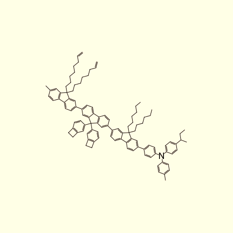 C=CCCCCCCC1(CCCCCCC=C)c2cc(C)ccc2-c2ccc(-c3ccc4c(c3)C(c3ccc5c(c3)CC5)(c3ccc5c(c3)CC5)c3cc(-c5ccc6c(c5)C(CCCCCC)(CCCCCC)c5cc(-c7ccc(N(c8ccc(C)cc8)c8ccc(C(C)CC)cc8)cc7)ccc5-6)ccc3-4)cc21